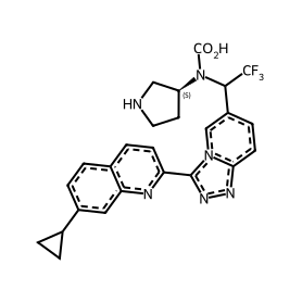 O=C(O)N(C(c1ccc2nnc(-c3ccc4ccc(C5CC5)cc4n3)n2c1)C(F)(F)F)[C@H]1CCNC1